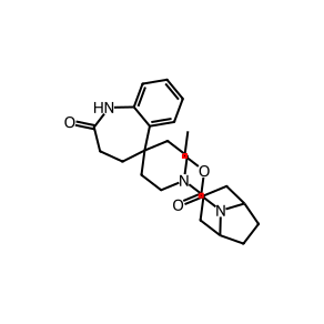 CCOC(=O)N1C2CCC1CC(N1CCC3(CCC(=O)Nc4ccccc43)CC1)C2